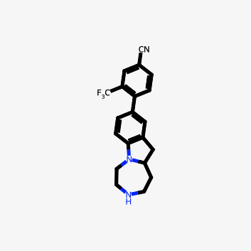 N#Cc1ccc(-c2ccc3c(c2)CC2CCNCCN32)c(C(F)(F)F)c1